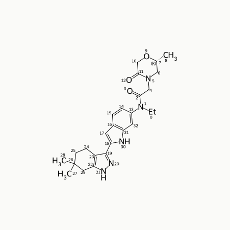 CCN(C(=O)CN1C[C@@H](C)OCC1=O)c1ccc2cc(-c3n[nH]c4c3CCC(C)(C)C4)[nH]c2c1